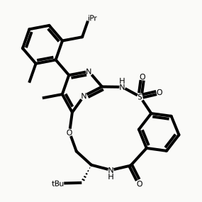 Cc1cccc(CC(C)C)c1-c1nc2nc(c1C)OC[C@@H](CC(C)(C)C)NC(=O)c1cccc(c1)S(=O)(=O)N2